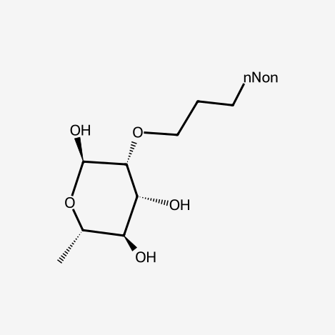 CCCCCCCCCCCCO[C@@H]1[C@H](O)[C@@H](O)[C@H](C)O[C@H]1O